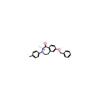 Cc1ccc(N2CCc3cc(OCc4ccccc4)ccc3C(=O)[C@H]2C)cc1